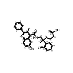 Cc1c(-c2ccccc2)nc2ccc(Br)cc2c1C(=O)NCC(C)(CCCC(=O)O)c1ccccc1Cl